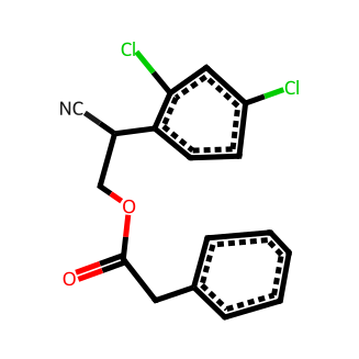 N#CC(COC(=O)Cc1ccccc1)c1ccc(Cl)cc1Cl